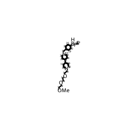 COCCOCCOCC[n+]1ccc(-c2cc[n+](Cc3ccc(BP=S)cc3)cc2)cc1